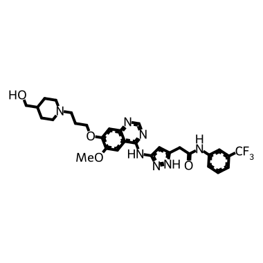 COc1cc2c(Nc3cc(CC(=O)Nc4cccc(C(F)(F)F)c4)[nH]n3)ncnc2cc1OCCCN1CCC(CO)CC1